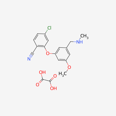 CNCc1cc(OC)cc(Oc2cc(Cl)ccc2C#N)c1.O=C(O)C(=O)O